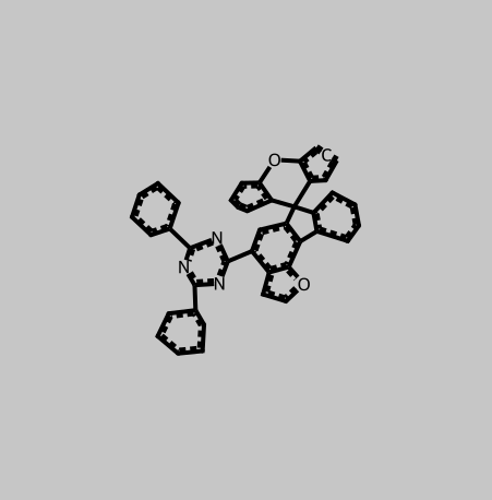 c1ccc(-c2nc(-c3ccccc3)nc(-c3cc4c(c5occc35)-c3ccccc3C43c4ccccc4Oc4ccccc43)n2)cc1